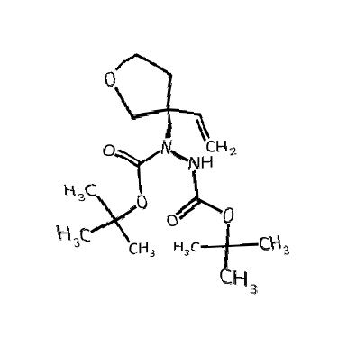 C=C[C@@]1(N(NC(=O)OC(C)(C)C)C(=O)OC(C)(C)C)CCOC1